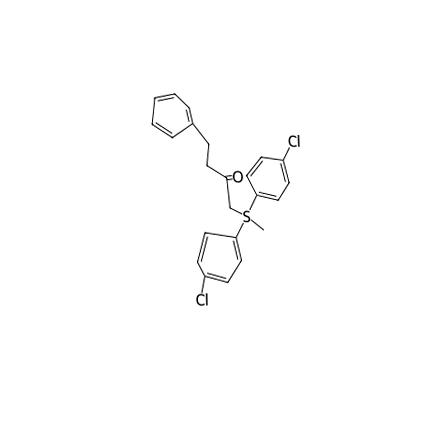 CS(CC(=O)CCc1ccccc1)(c1ccc(Cl)cc1)c1ccc(Cl)cc1